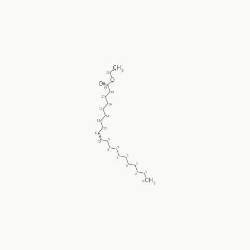 CCCCCCCCCC/C=C\CCCCCCCC(=O)OCC